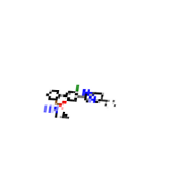 CC(C)(C)N[S+]([O-])c1ccccc1-c1ccc(-c2cn3cc(C#N)ccc3n2)c(F)c1